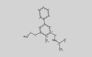 CC(=O)OCCc1cc(-c2ccccc2)cc(CNC(C)Cl)c1C(F)(F)F